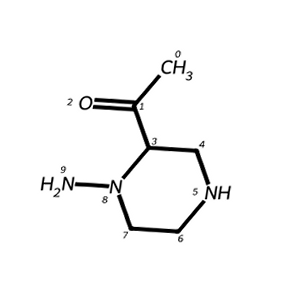 CC(=O)C1CNCCN1N